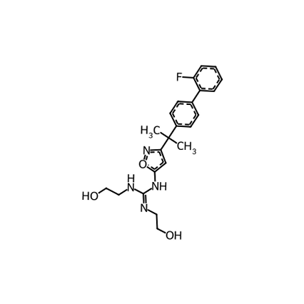 CC(C)(c1ccc(-c2ccccc2F)cc1)c1cc(N/C(=N\CCO)NCCO)on1